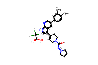 COc1ccc(-c2cnc3[nH]cc(C4=CCN(C(=O)NN5CCCC5)CC4)c3c2)cc1OC.O=C(O)C(F)(F)F